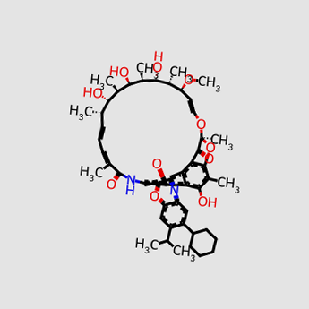 CO[C@H]1/C=C/O[C@@]2(C)Oc3c(C)c(O)c4c(=O)c(c5oc6cc(C(C)C)c(C7CCCCC7)cc6nc-5c4c3C2=O)NC(=O)/C(C)=C\C=C\[C@H](C)[C@H](O)[C@@H](C)[C@@H](O)[C@@H](C)[C@H](O)[C@@H]1C